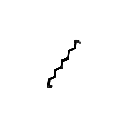 [CH]=CCCOC=CCCC